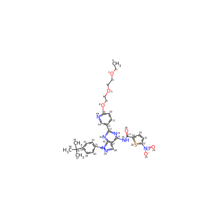 CCOCCOCCOc1ccc(-c2nc(NC(=O)c3ccc([N+](=O)[O-])s3)c3cnn(-c4ccc(C(C)(C)C)cc4)c3n2)cn1